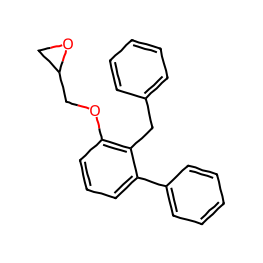 c1ccc(Cc2c(OCC3CO3)cccc2-c2ccccc2)cc1